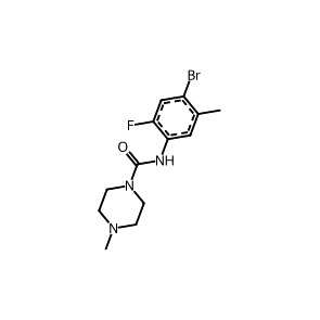 Cc1cc(NC(=O)N2CCN(C)CC2)c(F)cc1Br